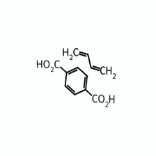 C=CC=C.O=C(O)c1ccc(C(=O)O)cc1